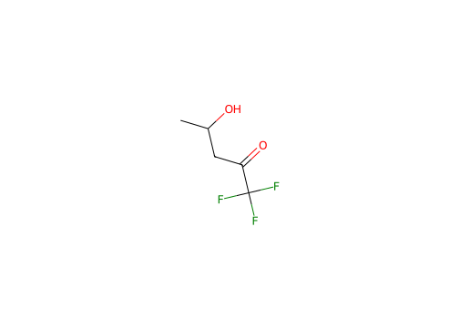 CC(O)CC(=O)C(F)(F)F